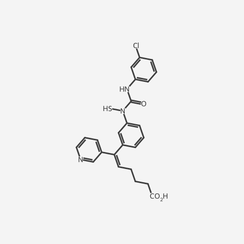 O=C(O)CCCC=C(c1cccnc1)c1cccc(N(S)C(=O)Nc2cccc(Cl)c2)c1